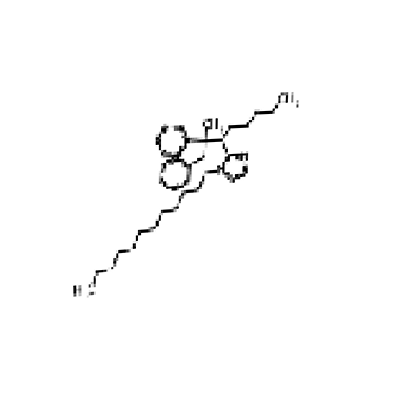 CCCCCCCCCCCCn1ccnc1C(CCCCC)C(C)(Cc1ccccc1)c1ccccc1